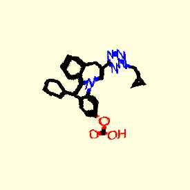 O=C(O)Oc1ccc2c(C3CCCCC3)c3n(c2c1)C=C(c1nnn(CC2CC2)n1)Cc1ccccc1-3